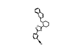 N#Cc1cccc(-c2noc(C3CCCCN3Cc3ccc4ccccc4n3)n2)c1